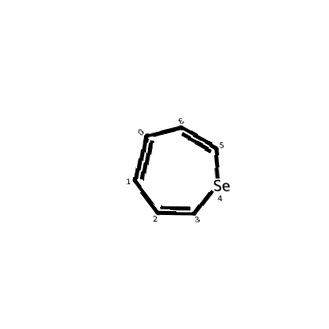 C1=CC=C[Se]C=C1